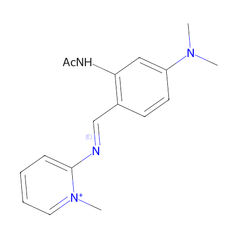 CC(=O)Nc1cc(N(C)C)ccc1/C=N/c1cccc[n+]1C